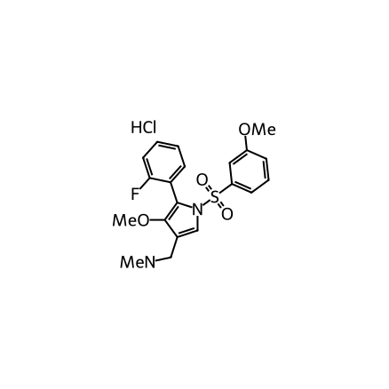 CNCc1cn(S(=O)(=O)c2cccc(OC)c2)c(-c2ccccc2F)c1OC.Cl